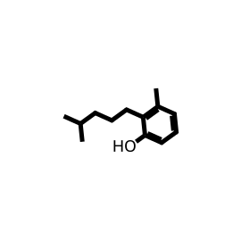 Cc1cccc(O)c1CCCC(C)C